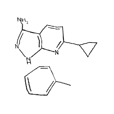 Cc1ccccc1.Nc1n[nH]c2nc(C3CC3)ccc12